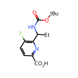 CCC(NC(=O)OC(C)(C)C)c1nc(C(=O)O)ccc1F